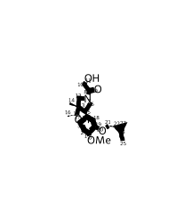 COc1ccc([C@@H]2CN(C(=O)CO)C[C@@]2(C)[C@@H](C)O)cc1OC[C@@H]1CC1C